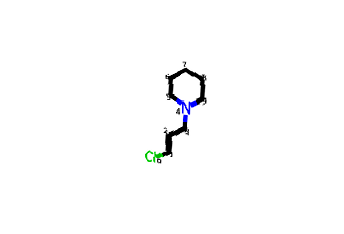 ClC=CCN1CCCCC1